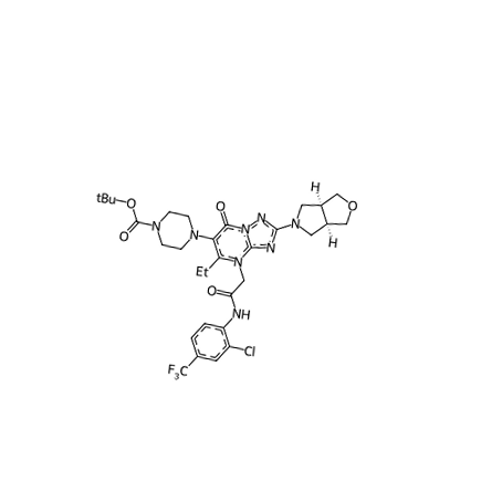 CCc1c(N2CCN(C(=O)OC(C)(C)C)CC2)c(=O)n2nc(N3C[C@H]4COC[C@H]4C3)nc2n1CC(=O)Nc1ccc(C(F)(F)F)cc1Cl